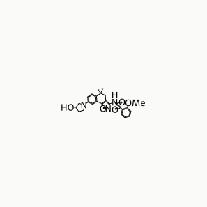 COc1ccccc1S(=O)(=O)Nc1noc2c1CC1(CC1)c1ccc(N3CC[C@H](O)C3)cc1-2